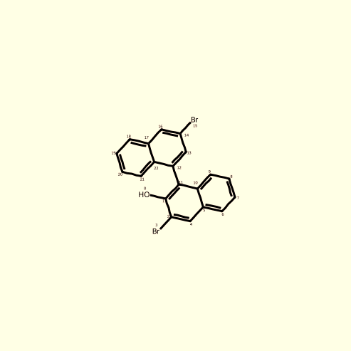 Oc1c(Br)cc2ccccc2c1-c1cc(Br)cc2ccccc12